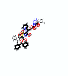 CC1(C)[C@H](C(=O)OC(c2ccccc2)c2ccccc2)N2C(=O)/C(=C(\COC(=O)NC(=O)C(Cl)(Cl)Cl)c3ccccn3)C2S1(=O)=O